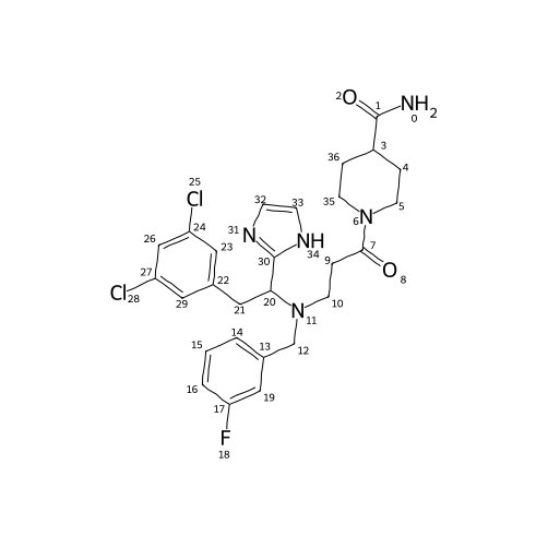 NC(=O)C1CCN(C(=O)CCN(Cc2cccc(F)c2)C(Cc2cc(Cl)cc(Cl)c2)c2ncc[nH]2)CC1